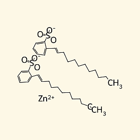 CCCCCCCCCCC=Cc1ccccc1S(=O)(=O)[O-].CCCCCCCCCCC=Cc1ccccc1S(=O)(=O)[O-].[Zn+2]